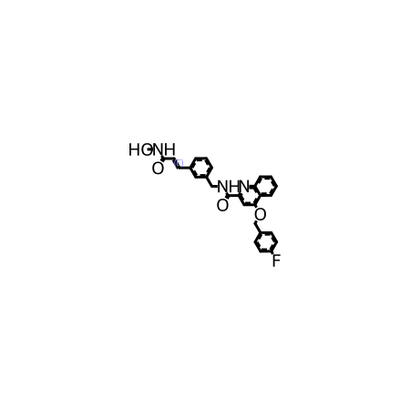 O=C(/C=C/c1cccc(CNC(=O)c2cc(OCc3ccc(F)cc3)c3ccccc3n2)c1)NO